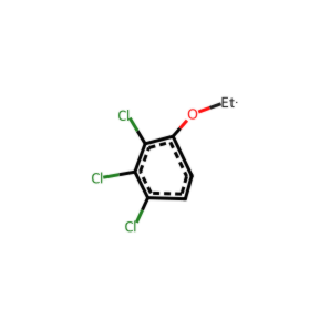 C[CH]Oc1ccc(Cl)c(Cl)c1Cl